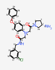 N[C@H]1CCN(C(=O)CN(CC(=O)NCc2cccc(Cl)c2)c2ccc(Oc3ccccc3)cc2)C1